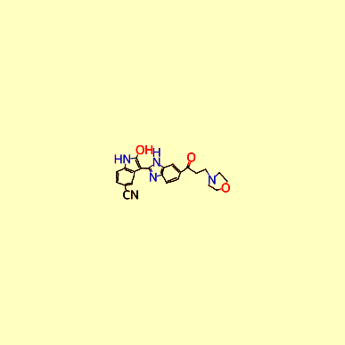 N#Cc1ccc2[nH]c(O)c(-c3nc4ccc(C(=O)CCN5CCOCC5)cc4[nH]3)c2c1